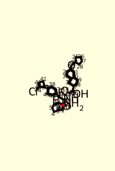 NC1CC2CCC(C1)N2C(=O)[C@@H](NC(=O)[C@H](O)c1ccc2cc(OC3CCCC3)ccc2c1)C(F)(F)c1ccc([C@H]2CC=C2Cl)cc1